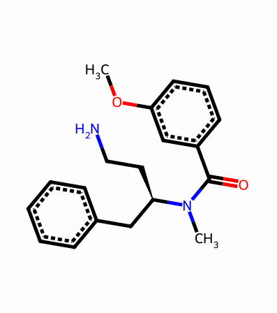 COc1cccc(C(=O)N(C)[C@H](CCN)Cc2ccccc2)c1